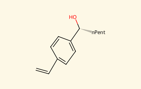 C=Cc1ccc([C@H](O)CCCCC)cc1